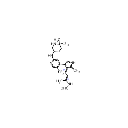 C=c1[nH]cc(-c2nc(NC3CCC(C)(C)NC3)ncc2C(F)(F)F)/c1=C/C=C(\C)NC=O